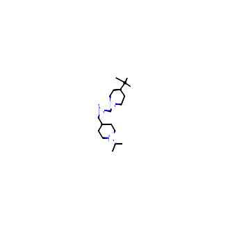 CC(C)N1CCC(CN(C)C(=O)N2CCC(C(C)(C)C)CC2)CC1